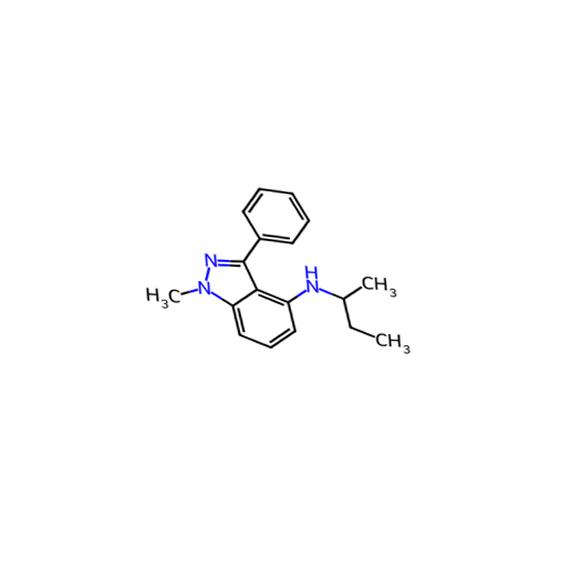 CCC(C)Nc1cccc2c1c(-c1ccccc1)nn2C